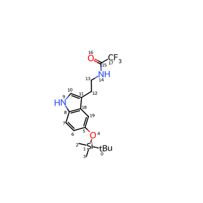 CC(C)(C)[Si](C)(C)Oc1ccc2[nH]cc(CCNC(=O)C(F)(F)F)c2c1